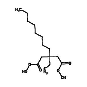 CCCCCCCCC(CC)(CC(=O)OO)CC(=O)OO